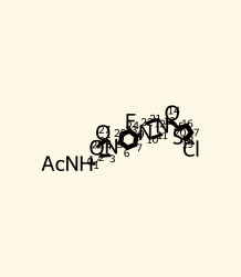 CC(=O)NC[C@H]1CN(c2ccc(N3CCN(C(=O)c4ccc(Cl)s4)CC3)c(F)c2)C(=O)O1